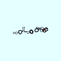 COC1(OO[C@H]2CC[C@@H](c3ccc(OCCN[C@H]4CC[C@H](O)CC4)cc3)CC2)C2CC3CC(C2)CC1C3